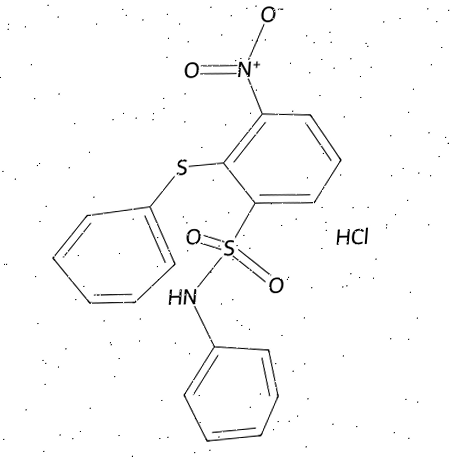 Cl.O=[N+]([O-])c1cccc(S(=O)(=O)Nc2ccccc2)c1Sc1ccccc1